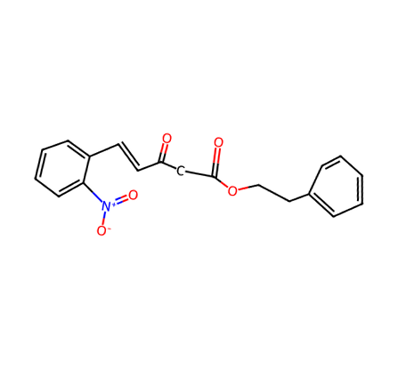 O=C(C=Cc1ccccc1[N+](=O)[O-])CC(=O)OCCc1ccccc1